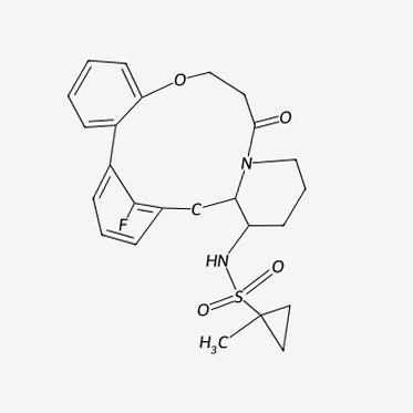 CC1(S(=O)(=O)NC2CCCN3C(=O)CCOc4ccccc4-c4cccc(c4F)CC23)CC1